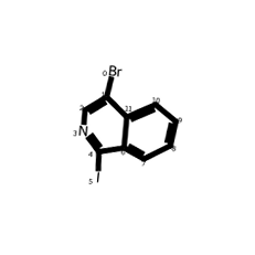 Brc1cnc(I)c2ccccc12